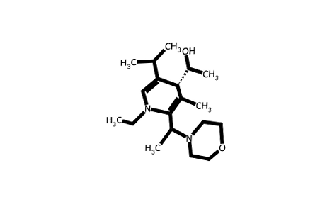 CCN1C=C(C(C)C)[C@H](C(C)O)C(C)=C1C(C)N1CCOCC1